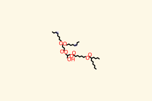 CC/C=C\CCCCOC(CCC(=O)OCC(CO)COC(=O)CCCCCCOC(=O)C(CCCC)CCCCCC)OCCCC/C=C\CC